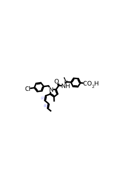 C/C=C/C=C\c1c(C)cc(C(=O)N[C@@H](C)c2ccc(C(=O)O)cc2)n1Cc1ccc(Cl)cc1